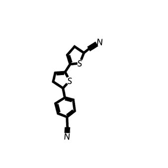 N#Cc1ccc(C2CC=C(C3=CCC(C#N)S3)S2)cc1